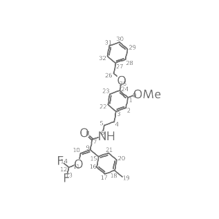 COc1cc(CCNC(=O)C(=COC(F)F)c2ccc(C)cc2)ccc1OCc1ccccc1